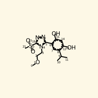 COCCn1c(-c2cc(C(C)C)c(O)cc2O)nnc1S(C)(=O)=O